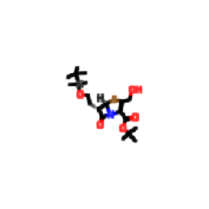 CC(C)(C)OC(=O)C1=C(CO)S[C@@H]2[C@@H](CCO[Si](C)(C)C(C)(C)C)C(=O)N12